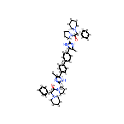 Cc1nc([C@@H]2CCCN2C(=O)[C@@H](c2ccccc2)N2CCCCC2)[nH]c1-c1ccc(-c2ccc(-c3[nH]c([C@@H]4CCCN4C(=O)[C@@H](c4ccccc4)N4CCCCC4)nc3C)cc2)cc1